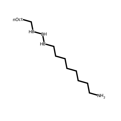 CCCCCCCCCBBBCCCCCCCCN